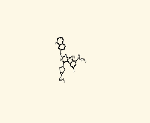 CNc1cc(F)cc2c1[nH]c1nc(Sc3cnc4cccnc4c3)nc(N3CC4C(N)C4C3)c12